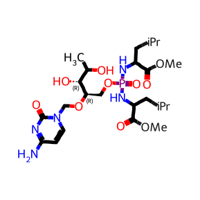 COC(=O)C(CC(C)C)NP(=O)(NC(CC(C)C)C(=O)OC)OC[C@@H](OCn1ccc(N)nc1=O)[C@H](O)C(C)O